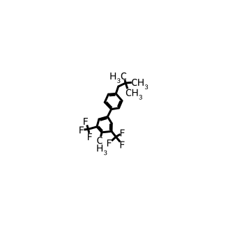 Cc1c(C(F)(F)F)cc(-c2ccc(CC(C)(C)C)cc2)cc1C(F)(F)F